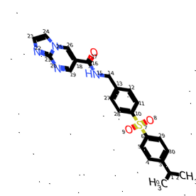 CC(C)c1ccc(S(=O)(=O)c2ccc(CNC(=O)c3cnc4nccn4c3)cc2)cc1